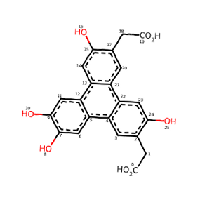 O=C(O)Cc1cc2c3cc(O)c(O)cc3c3cc(O)c(CC(=O)O)cc3c2cc1O